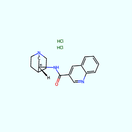 Cl.Cl.O=C(N[C@H]1CN2CCC1CC2)c1cnc2ccccc2c1